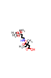 CCC(CC)(CC(=O)O)C(=O)ONCCC[Si](OC)(OC)OC